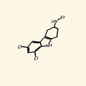 CCNC1CCc2[nH]c3c(Cl)cc(Cl)cc3c2C1